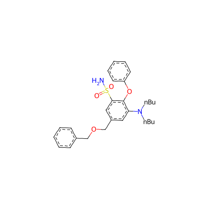 CCCCN(CCCC)c1cc(COCc2ccccc2)cc(S(N)(=O)=O)c1Oc1ccccc1